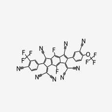 N#CC(C#N)=C1C(c2ccc(OC(F)(F)F)c(C#N)c2)=C(C#N)c2c(F)c3c(c(F)c21)C(=C(C#N)C#N)C(c1ccc(C#N)c(C(F)(F)F)c1)=C3C#N